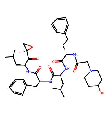 CC(C)C[C@H](NC(=O)[C@H](CCc1ccccc1)NC(=O)CN1CCC(O)CC1)C(=O)N[C@@H](Cc1ccccc1)C(=O)N[C@@H](CC(C)C)C(=O)[C@@]1(C)CO1